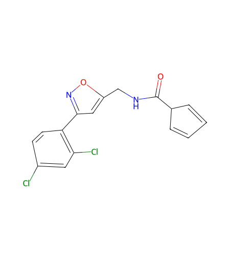 O=C(NCc1cc(-c2ccc(Cl)cc2Cl)no1)C1C=CC=C1